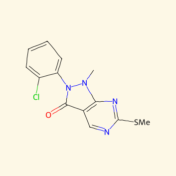 CSc1ncc2c(=O)n(-c3ccccc3Cl)n(C)c2n1